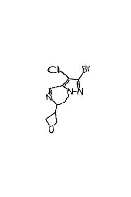 Clc1c(Br)nn2c1C=NC(C1COC1)C2